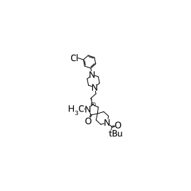 CN1C(=O)C2(CCN(C(=O)C(C)(C)C)CC2)C[C@@H]1CCN1CCN(c2cccc(Cl)c2)CC1